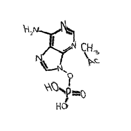 CC(C)=O.Nc1ncnc2c1ncn2OP(=O)(O)O